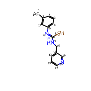 CC(=O)c1cccc(/N=C(\S)NCc2cccnc2)c1